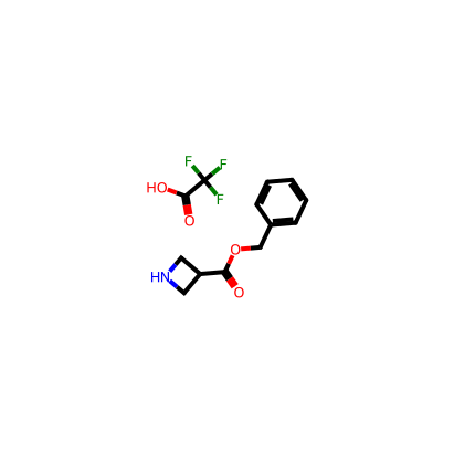 O=C(O)C(F)(F)F.O=C(OCc1ccccc1)C1CNC1